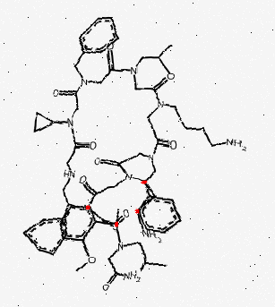 COc1ccc(CNCC(=O)N(CC(=O)N(CC(=O)N(CC(=O)N(CCCCN)CC(=O)N(CCCCN)CC(=O)N(CC(=O)N(CC(=O)N(CC(N)=O)CC(C)C)Cc2ccccc2)Cc2ccccc2)CC(C)C)Cc2ccccc2)C2CC2)cc1OC